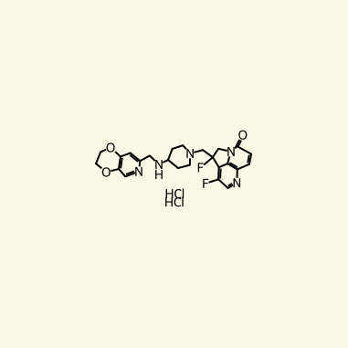 Cl.Cl.O=c1ccc2ncc(F)c3c2n1CC3(F)CN1CCC(NCc2cc3c(cn2)OCCO3)CC1